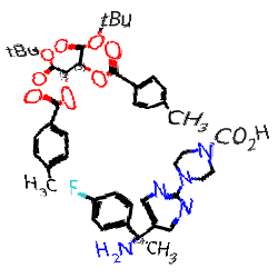 C[C@](N)(c1ccc(F)cc1)c1cnc(N2CCN(C(=O)O)CC2)nc1.Cc1ccc(C(=O)O[C@H](C(=O)OC(C)(C)C)[C@H](OC(=O)c2ccc(C)cc2)C(=O)OC(C)(C)C)cc1